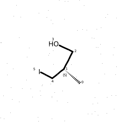 C[C@@H](CO)CI